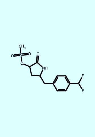 CS(=O)(=O)OC1CC(Cc2ccc(C(F)F)cc2)NC1=O